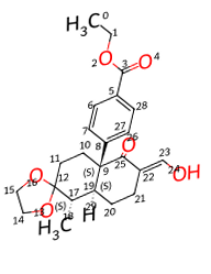 CCOC(=O)c1ccc([C@]23CCC4(OCCO4)[C@@H](C)[C@@H]2CCC(=CO)C3=O)cc1